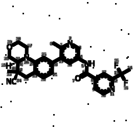 Cc1ncc(NC(=O)c2ccnc(C(C)(F)F)c2)cc1-c1ccc2c(c1)N1CCOC[C@@H]1[C@](C)(C#N)C2